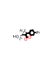 Cc1c(CC(=O)O)c(=O)oc2cc(C(C)C)ccc12